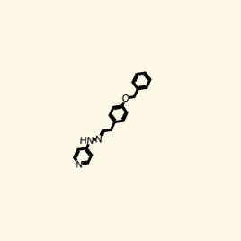 C(Cc1ccc(OCc2ccccc2)cc1)=NNc1ccncc1